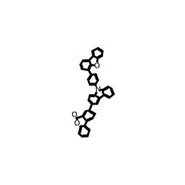 O=c1oc2ccccc2c2ccc(-c3ccc4c(c3)c3ccccc3n4-c3ccc(-c4cccc5c4oc4ccccc45)cc3)cc12